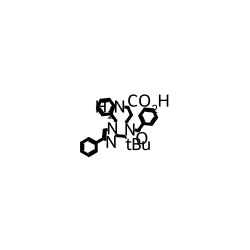 CC(C)(C)[C@H](c1nc(-c2ccccc2)cn1Cc1ccccc1)N(CC[C@H](N)C(=O)O)C(=O)c1ccccc1